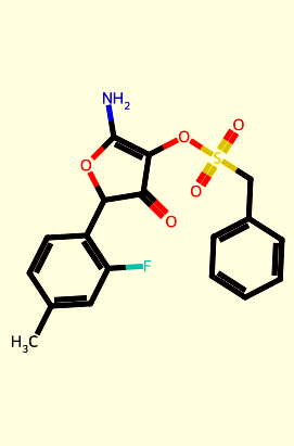 Cc1ccc(C2OC(N)=C(OS(=O)(=O)Cc3ccccc3)C2=O)c(F)c1